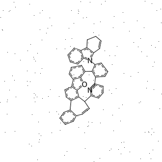 N#Cc1cccc(-n2c3c(c4ccccc42)CCC=C3)c1-c1cccc2c1oc1c3c(ccc12)-c1ccccc1C=CC3c1ccccc1